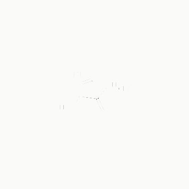 COC(C)=O.Cl.Cl.O=P